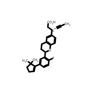 CC#C[C@@H](CC(=O)O)c1ccc2c(c1)CCC(c1cc(C3=CCCC3(C)C)ccc1F)O2